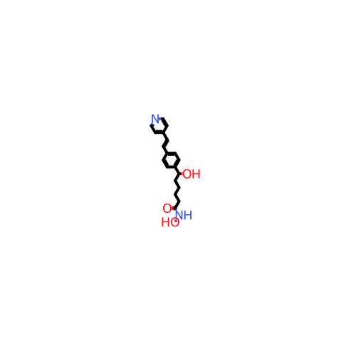 O=C(CCCCC(O)c1ccc(C=Cc2ccncc2)cc1)NO